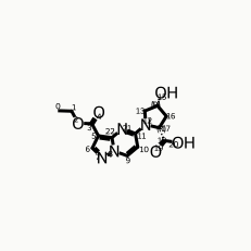 CCOC(=O)c1cnn2ccc(N3C[C@H](O)C[C@@H]3C(=O)O)nc12